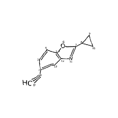 C#Cc1ccc2oc(C3CC3)nc2c1